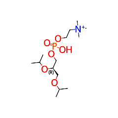 CC(C)OC[C@H](COP(=O)(O)OCC[N+](C)(C)C)OC(C)C